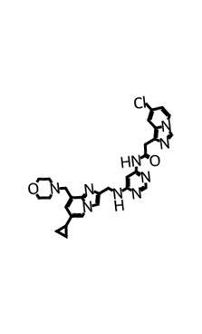 O=C(Cc1ncn2ccc(Cl)cc12)Nc1cc(NCc2cn3cc(C4CC4)cc(CN4CCOCC4)c3n2)ncn1